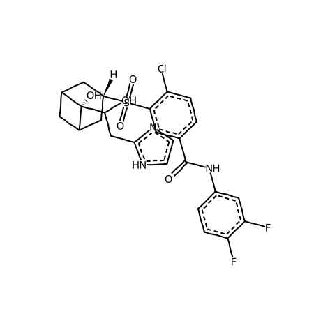 O=C(Nc1ccc(F)c(F)c1)c1ccc(Cl)c(S(=O)(=O)[C@H]2CC3CC(C2)[C@]3(O)C(O)Cc2ncc[nH]2)c1